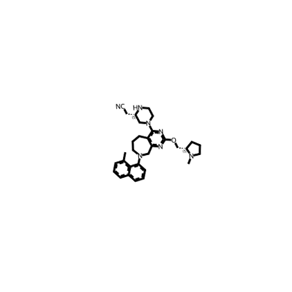 Cc1cccc2cccc(N3CCCc4c(nc(OC[C@@H]5CCCN5C)nc4N4CCN[C@@H](CC#N)C4)C3)c12